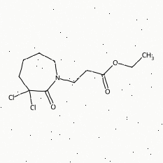 CCOC(=O)CCN1CCCCC(Cl)(Cl)C1=O